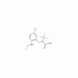 CCNc1ccc(Cl)cc1CN(C(=O)O)C(C)(C)C